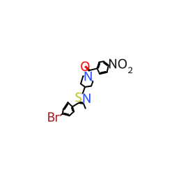 Cc1nc(C2CCN(C(=O)c3ccc([N+](=O)[O-])cc3)CC2)sc1-c1ccc(Br)cc1